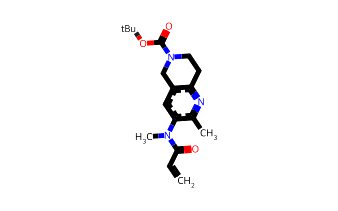 C=CC(=O)N(C)c1cc2c(nc1C)CCN(C(=O)OC(C)(C)C)C2